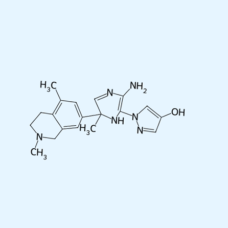 Cc1cc(C2(C)C=NC(N)=C(n3cc(O)cn3)N2)cc2c1CCN(C)C2